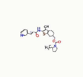 CC1CCCN1C(=O)OCC1CCc2c(sc(NC(=O)/C=C/c3cccnc3)c2C#N)C1